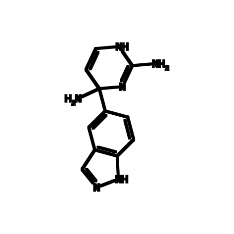 NC1=NC(N)(c2ccc3[nH]ncc3c2)C=CN1